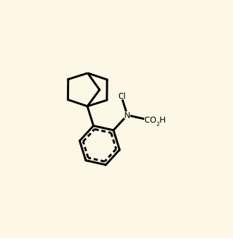 O=C(O)N(Cl)c1ccccc1C12CCC(CC1)C2